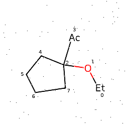 CCOC1(C(C)=O)CCCC1